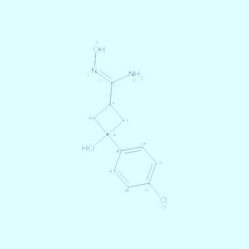 N/C(=N\O)C1CC(O)(c2ccc(Cl)cc2)C1